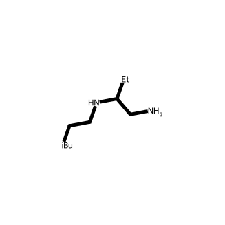 CCC(C)CCNC(CC)CN